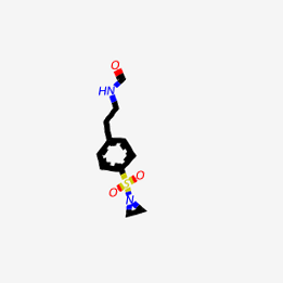 O=CNCCc1ccc(S(=O)(=O)N2CC2)cc1